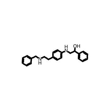 OC(CNc1ccc(CCNCc2ccccc2)cc1)c1ccccc1